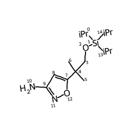 CC(C)[Si](OCC(C)(C)c1cc(N)no1)(C(C)C)C(C)C